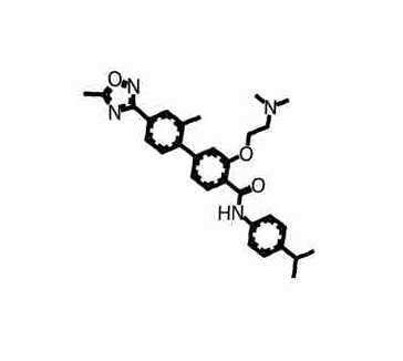 Cc1nc(-c2ccc(-c3ccc(C(=O)Nc4ccc(C(C)C)cc4)c(OCCN(C)C)c3)c(C)c2)no1